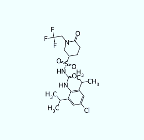 CC(C)c1cc(Cl)cc(C(C)C)c1NC(=O)NS(=O)(=O)C1CCC(=O)N(CC(F)(F)F)C1